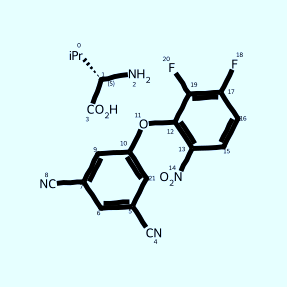 CC(C)[C@H](N)C(=O)O.N#Cc1cc(C#N)cc(Oc2c([N+](=O)[O-])ccc(F)c2F)c1